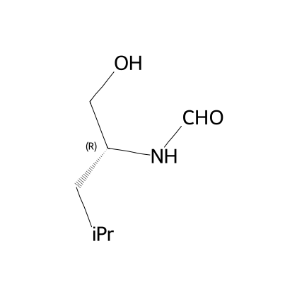 CC(C)C[C@H](CO)NC=O